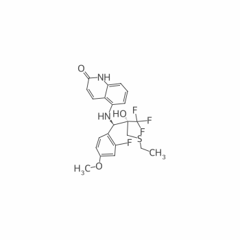 CCSC[C@@](O)([C@H](Nc1cccc2[nH]c(=O)ccc12)c1ccc(OC)cc1F)C(F)(F)F